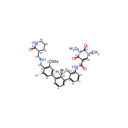 COc1cc(-c2cccc(-c3cccc(NC(=O)c4cn(C)c(=O)n(C)c4=O)c3C)c2C)cc(F)c1CNCC1CCCNC1=O